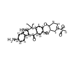 CC1(C)c2cc(OC3CCN(S(C)(=O)=O)CC3)c(Br)cc2C(=O)c2c1[nH]c1cc(N)ccc21